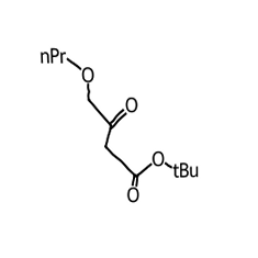 CCCOCC(=O)CC(=O)OC(C)(C)C